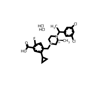 CC(c1cc(Cl)cc(Cl)c1)N1CCN(Cc2cc(F)c(C(=O)O)cc2C2CC2)C[C@@H]1C.Cl.Cl